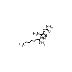 CCCCCCC(C)n1nnc(OC(N)=O)c1N